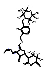 C\C=C/C=C1/C(=O)N(C2C(=O)NC(=O)C(O)(O)C2(O)O)C/C1=C\NCc1cccc(CN2C(O)(O)C(O)(O)OC(O)(O)C2(O)O)c1F